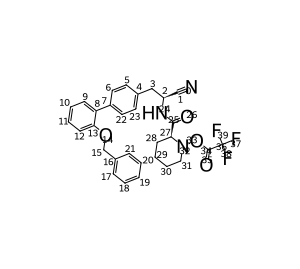 N#C[C@H](Cc1ccc(-c2ccccc2OCc2ccccc2)cc1)NC(=O)[C@@H]1CCCCN1OC(=O)C(F)(F)F